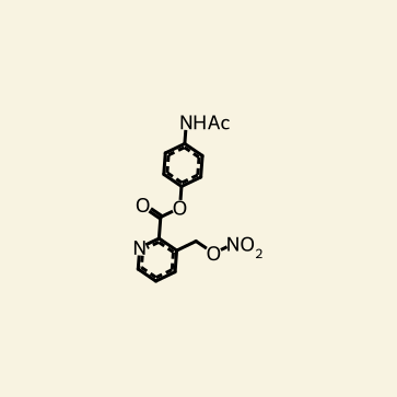 CC(=O)Nc1ccc(OC(=O)c2ncccc2CO[N+](=O)[O-])cc1